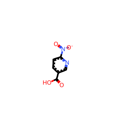 O=C(O)c1ccc([N+](=O)[O-])nc1